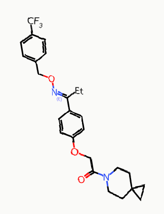 CC/C(=N\OCc1ccc(C(F)(F)F)cc1)c1ccc(OCC(=O)N2CCC3(CC2)CC3)cc1